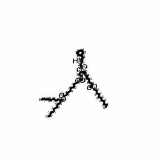 CCCCCCCCCCCOC(=O)CCCCCN1CC(OC(=O)CCNCc2ccccc2)C[C@H]1C(=O)OCCCCCCCC(=O)OC(CCCCCCCC)CCCCCCCC